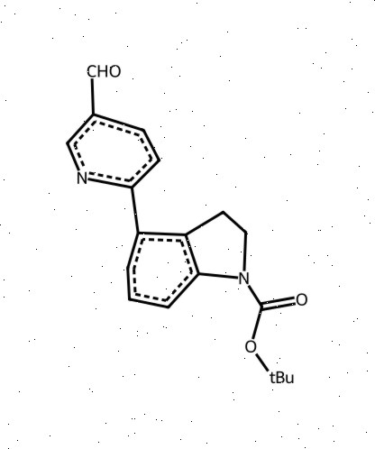 CC(C)(C)OC(=O)N1CCc2c(-c3ccc(C=O)cn3)cccc21